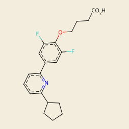 O=C(O)CCCOc1c(F)cc(-c2cccc(C3CCCC3)n2)cc1F